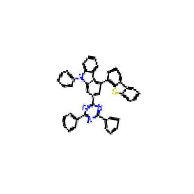 c1ccc(-c2nc(-c3ccccc3)nc(-c3cc(-c4cccc5c4sc4ccccc45)c4c5ccccc5n(-c5ccccc5)c4c3)n2)cc1